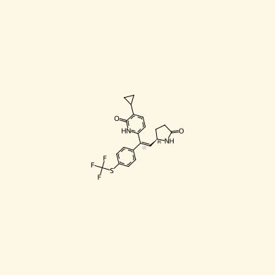 O=C1CC[C@H](/C=C(/c2ccc(SC(F)(F)F)cc2)c2ccc(C3CC3)c(=O)[nH]2)N1